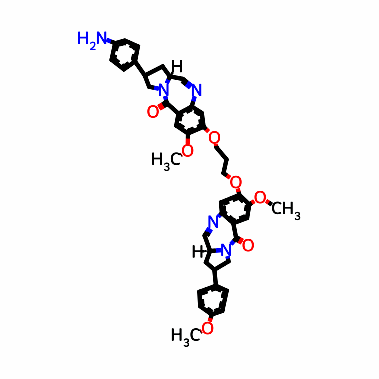 COc1ccc(C2C[C@H]3C=Nc4cc(OCCCOc5cc6c(cc5OC)C(=O)N5CC(c7ccc(N)cc7)C[C@H]5C=N6)c(OC)cc4C(=O)N3C2)cc1